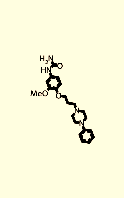 COc1cc(NC(N)=O)ccc1OCCCN1CCN(c2ccccc2)CC1